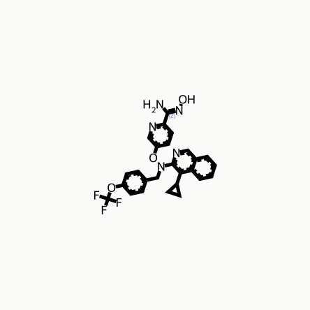 N/C(=N\O)c1ccc(ON(Cc2ccc(OC(F)(F)F)cc2)c2ncc3ccccc3c2C2CC2)cn1